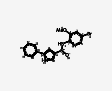 COc1cc(Br)cnc1N[S+]([O-])c1c[nH]c(-c2ccccc2)c1